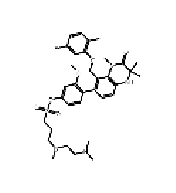 COc1cc(OS(=O)(=O)CCCN(C)CCN(C)C)ccc1-c1ccc2c(c1COc1cc(F)ccc1C)N(C)C(=O)C(C)(C)N2